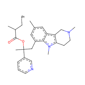 Cc1cc(CC(C)(OC(=O)C(C)CC(C)C)c2cccnc2)c2c(c1)c1c(n2C)CCN(C)C1